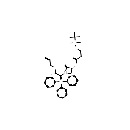 C=CCOC(=O)C(N1C[C@H](SC(=O)C[C@@H](C)O[Si](C)(C)C(C)(C)C)C1=O)=P(c1ccccc1)(c1ccccc1)c1ccccc1